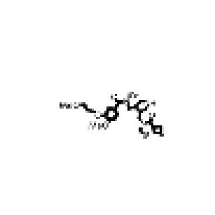 COCCCOc1cc(C(=O)N(CC2CNCC2CN(CC(C)C)C(=O)C2CCC2)C(C)C)ccc1OC